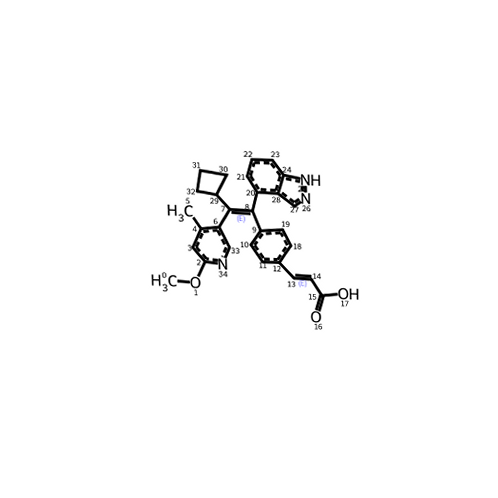 COc1cc(C)c(/C(=C(\c2ccc(/C=C/C(=O)O)cc2)c2cccc3[nH]ncc23)C2CCC2)cn1